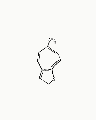 NC1=CC=C2SCC=C2C=C1